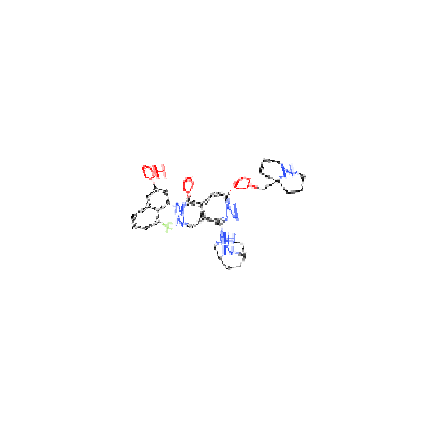 O=c1c2cc(OCC34CCCN3CCC4)nc(N3CC4CCC(C3)N4)c2cnn1-c1cc(O)cc2cccc(F)c12